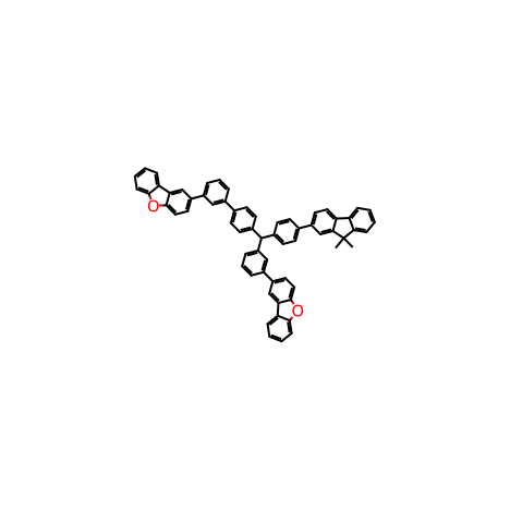 CC1(C)c2ccccc2-c2ccc(-c3ccc(C(c4ccc(-c5cccc(-c6ccc7oc8ccccc8c7c6)c5)cc4)c4cccc(-c5ccc6oc7ccccc7c6c5)c4)cc3)cc21